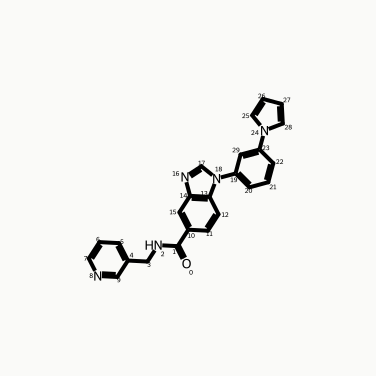 O=C(NCc1cccnc1)c1ccc2c(c1)ncn2-c1cccc(-n2cccc2)c1